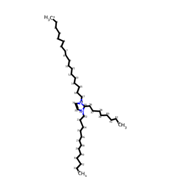 CCCCCCCCCCCCCCCCCCN1C=CN(CCCCCCCCCCCCC)C1CCCCCCCC